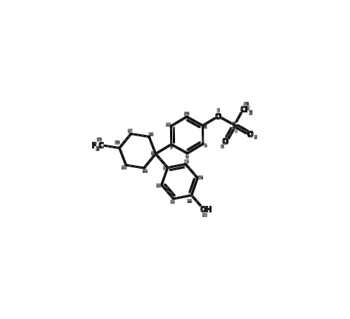 O=S(=O)(Oc1ccc(C2(c3ccc(O)cc3)CCC(C(F)(F)F)CC2)cc1)C(F)(F)F